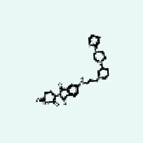 O=C1CCC(N2C(=O)c3ccc(NCCCN4CCCC(N5CCN(c6ccccn6)CC5)C4)cc3C2=O)C(=O)N1